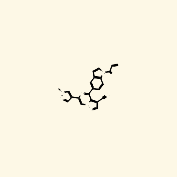 C=CC(=O)n1ccc2cc(-c3nc(-c4cnn(C)c4)cn4ncc(C#N)c34)ccc21